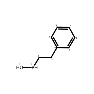 OBCCc1ccccc1